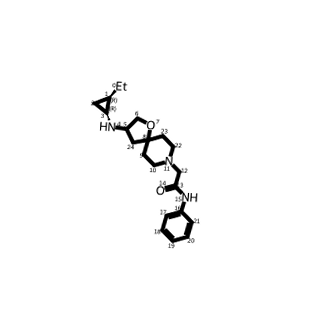 CC[C@@H]1C[C@H]1NC1COC2(CCN(CC(=O)Nc3ccccc3)CC2)C1